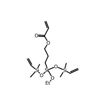 C=CC(=O)OCCC[Si](OCC)(O[Si](C)(C)C=C)O[Si](C)(C)C=C